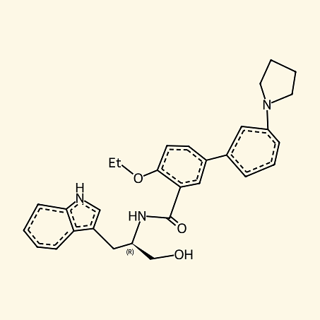 CCOc1ccc(-c2cccc(N3CCCC3)c2)cc1C(=O)N[C@@H](CO)Cc1c[nH]c2ccccc12